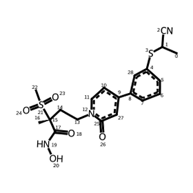 CC(C#N)Sc1cccc(-c2ccn(CC[C@](C)(C(=O)NO)S(C)(=O)=O)c(=O)c2)c1